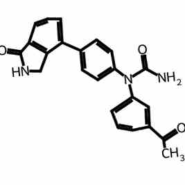 CC(=O)c1cccc(N(C(N)=O)c2ccc(-c3cccc4c3CNC4=O)cc2)c1